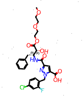 COCCOCCOC(=O)[C@H](O)[C@@H](Cc1ccccc1)NC(=O)c1cc(C(=O)O)n(Cc2ccc(Cl)cc2F)n1